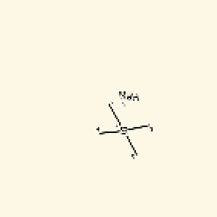 C[Si](C)(C)C.[NaH]